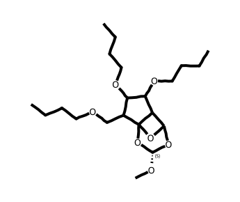 CCCCOCC1C(OCCCC)C(OCCCC)C2C3O[C@H](OC)OC12O3